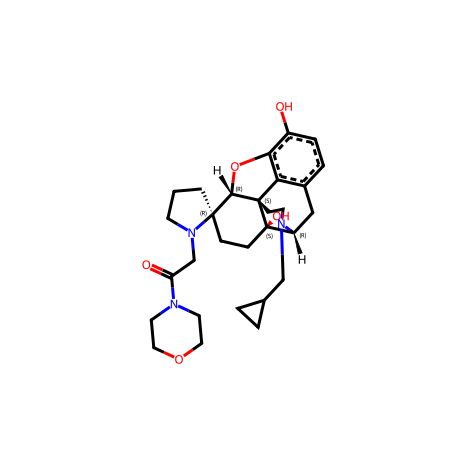 O=C(CN1CCC[C@]12CC[C@@]1(O)[C@H]3Cc4ccc(O)c5c4[C@@]1(CCN3CC1CC1)[C@H]2O5)N1CCOCC1